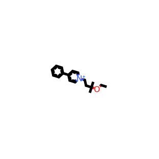 CCOC(C)(C)CC[n+]1ccc(-c2ccccc2)cc1